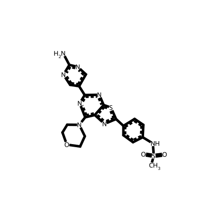 CS(=O)(=O)Nc1ccc(-c2nc3c(N4CCOCC4)nc(-c4cnc(N)nc4)nc3s2)cc1